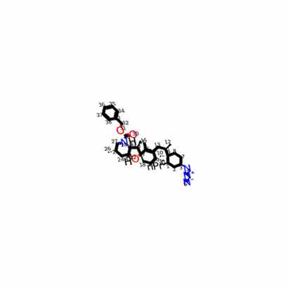 CCC[C@@H]1C[C@H](N=[N+]=[N-])CC[C@]1(C)[C@H](C)CC1=C(C)[C@]2(CC[C@H]1C)O[C@@H]1C[C@H](C)CN(C(=O)OCc3ccccc3)[C@H]1[C@H]2C